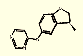 C[C@@H]1COc2ccc(Oc3ccncn3)cc21